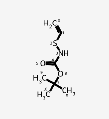 C=CSNC(=O)OC(C)(C)C